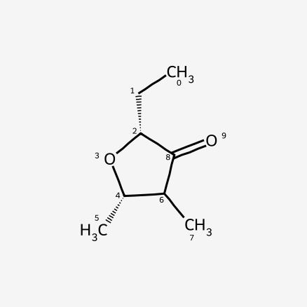 CC[C@H]1O[C@@H](C)C(C)C1=O